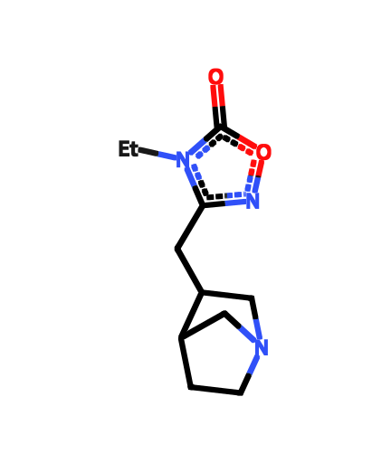 CCn1c(CC2CN3CCC2C3)noc1=O